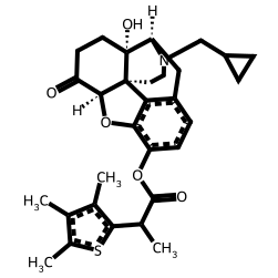 Cc1sc(C(C)C(=O)Oc2ccc3c4c2O[C@H]2C(=O)CC[C@@]5(O)[C@@H](C3)N(CC3CC3)CC[C@]425)c(C)c1C